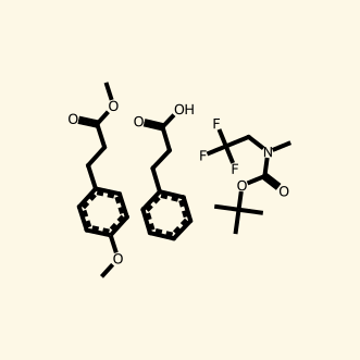 CN(CC(F)(F)F)C(=O)OC(C)(C)C.COC(=O)CCc1ccc(OC)cc1.O=C(O)CCc1ccccc1